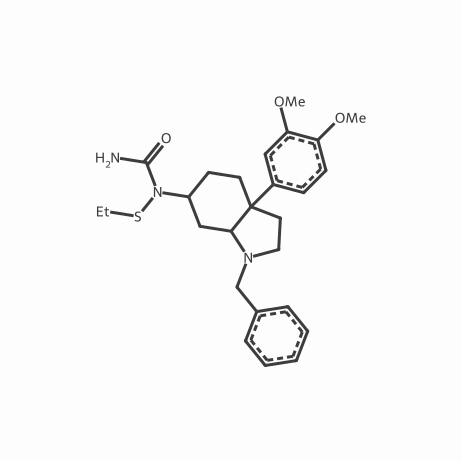 CCSN(C(N)=O)C1CCC2(c3ccc(OC)c(OC)c3)CCN(Cc3ccccc3)C2C1